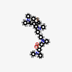 O=S1(=O)c2cc3c(cc2-c2cc4c5ccccc5n(-c5ccc(-c6ccc7c8cc9c(cc8n(-c8ccccc8)c7c6)C6(c7ccccc7Sc7ccccc76)c6cc7c(cc6-9)c6ccccc6n7-c6ccccc6)cc5)c4cc21)c1ccccc1n3-c1ccccc1